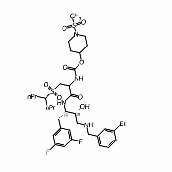 CCCC(CCC)S(=O)(=O)CC(NC(=O)OC1CCN(S(C)(=O)=O)CC1)C(=O)N[C@@H](Cc1cc(F)cc(F)c1)[C@H](O)CNCc1cccc(CC)c1